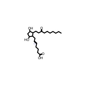 CCCCCCCC(=O)CCC1C(O)CC(O)C1C/C=C/CCCC(=O)O